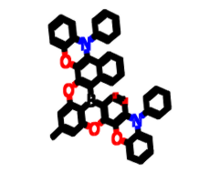 Cc1cc2c3c(c1)Oc1c4c(c5ccccc5c1B3c1c(c3c(c5ccccc15)N(c1ccccc1)c1ccccc1O3)O2)N(c1ccccc1)c1ccccc1O4